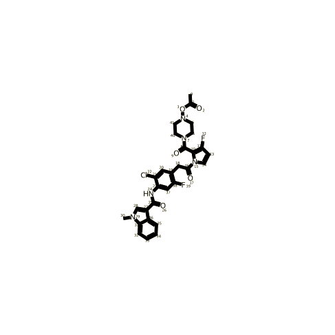 CC(=O)ON1CCN(C(=O)c2c(F)ccn2C(=O)Cc2cc(Cl)c(NC(=O)c3cn(C)c4ccccc34)cc2F)CC1